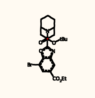 CCOC(=O)c1cc(Br)c2oc(N3CC4CCCC(C3)N4C(=O)OC(C)(C)C)nc2c1